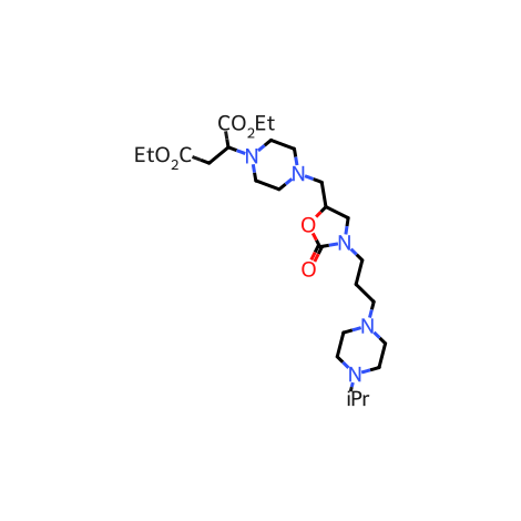 CCOC(=O)CC(C(=O)OCC)N1CCN(CC2CN(CCCN3CCN(C(C)C)CC3)C(=O)O2)CC1